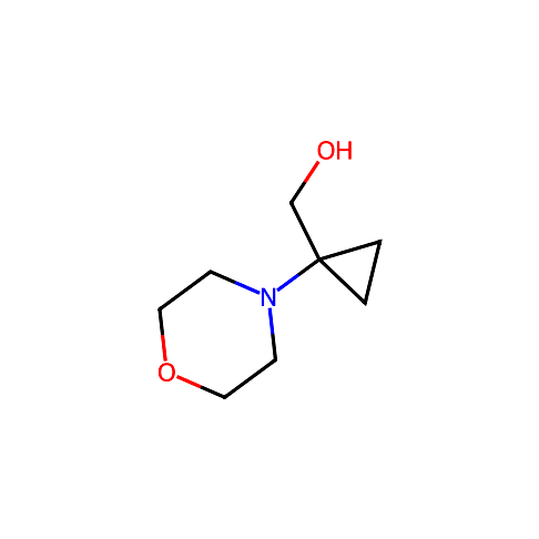 OCC1(N2CCOCC2)CC1